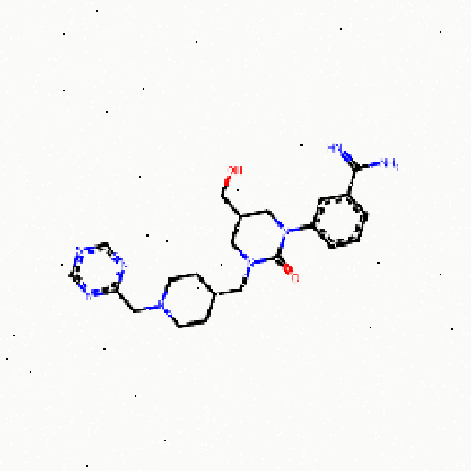 N=C(N)c1cccc(N2CC(CO)CN(CC3CCN(Cc4ncncn4)CC3)C2=O)c1